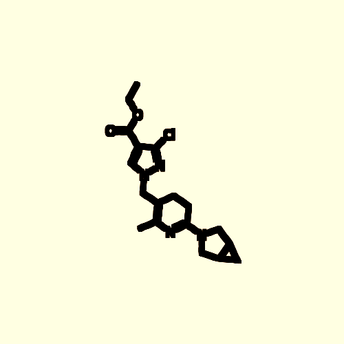 CCOC(=O)c1cn(CC2=C(C)N=C(N3CC4CC4C3)CC2)nc1Cl